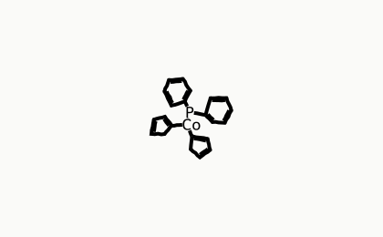 C1=CC[C]([Co]([C]2=CC=CC2)[P](c2ccccc2)c2ccccc2)=C1